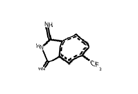 N=C1NC(=N)c2cc(C(F)(F)F)ccc21